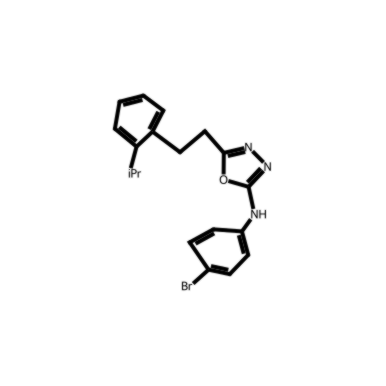 CC(C)c1ccccc1CCc1nnc(Nc2ccc(Br)cc2)o1